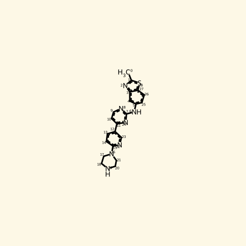 Cc1nc2cc(Nc3nccc(-c4ccc(N5CCNCC5)nc4)n3)ccc2s1